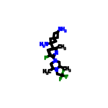 Cc1nc(N2CC(C)N(CC(F)(F)F)C(C)C2)c(F)cc1C1(N)CC2(CC(N)C2)C1